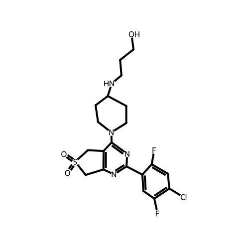 O=S1(=O)Cc2nc(-c3cc(F)c(Cl)cc3F)nc(N3CCC(NCCCO)CC3)c2C1